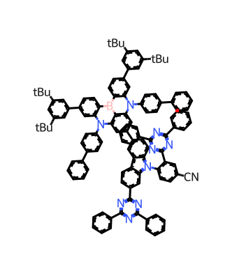 CC(C)(C)c1cc(-c2ccc3c(c2)N(c2ccc(-c4ccccc4)cc2)c2cc(-c4ccc5c(c4)c4ccc(-c6nc(-c7ccccc7)nc(-c7ccccc7)n6)cc4n5-c4ccc(C#N)cc4-c4nc(-c5ccccc5)nc(-c5ccccc5)n4)cc4c2B3c2ccc(-c3cc(C(C)(C)C)cc(C(C)(C)C)c3)cc2N4c2ccc(-c3ccccc3)cc2)cc(C(C)(C)C)c1